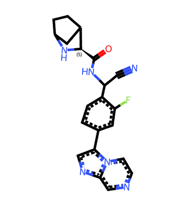 N#CC(NC(=O)[C@H]1NC2CCC1C2)c1ccc(-c2cnc3cnccn23)cc1F